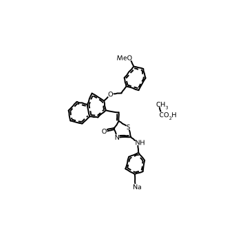 CC(=O)O.COc1cccc(COc2cc3ccccc3cc2C=C2SC(Nc3cc[c]([Na])cc3)=NC2=O)c1